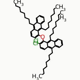 CCCCCCCCc1c2ccccc2c(CCCCCCCC)c2c(Oc3c(Cl)ccc4c(CCCCCCCC)c5ccccc5c(CCCCCCCC)c34)c(Cl)ccc12